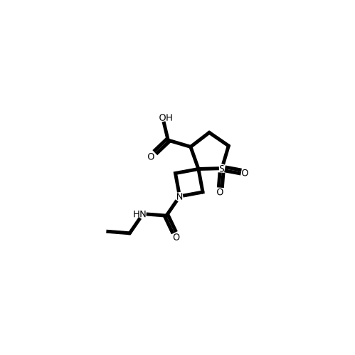 CCNC(=O)N1CC2(C1)C(C(=O)O)CCS2(=O)=O